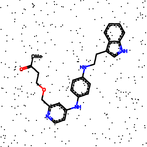 COC(=O)CCOCc1cc(Nc2ccc(NCCc3c[nH]c4ccccc34)cc2)ccn1